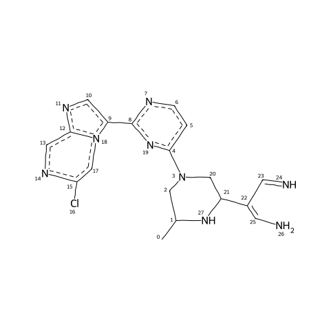 CC1CN(c2ccnc(-c3cnc4cnc(Cl)cn34)n2)CC(/C(C=N)=C/N)N1